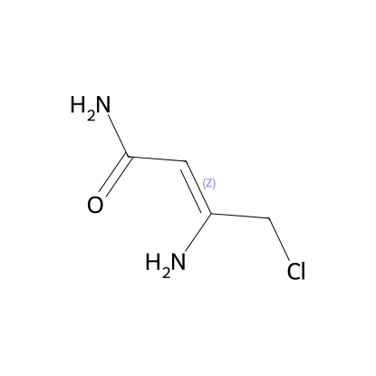 NC(=O)/C=C(\N)CCl